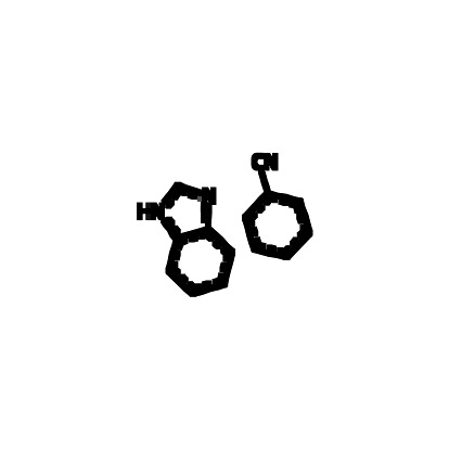 N#Cc1ccccc1.c1ccc2[nH]cnc2c1